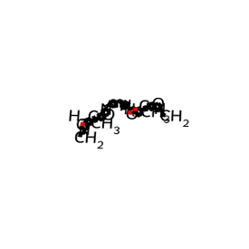 C=CCN1COc2ccc(C(C)(C)c3ccc4c(c3)CN(Cc3ccc(Cc5ccc(N6COc7ccc(C(C)(C)c8ccc9c(c8)CN(CC=C)CO9)cc7C6)cc5)cc3)CO4)cc2C1